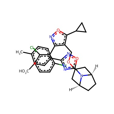 Cc1ccc(-c2noc(N3[C@@H]4CC[C@H]3CC(OCc3c(-c5c(Cl)cccc5Cl)noc3C3CC3)C4)n2)cc1C(=O)O